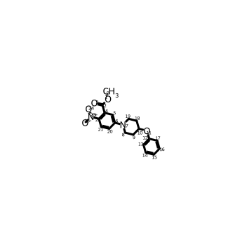 COC(=O)c1cc(N2CCC(Oc3ccccc3)CC2)ccc1[N+](=O)[O-]